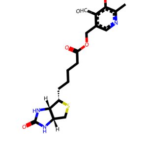 Cc1ncc(COC(=O)CCCC[C@@H]2SC[C@@H]3NC(=O)N[C@@H]32)c(C=O)c1O